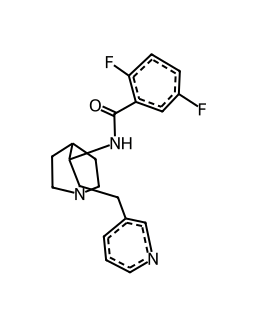 O=C(NC1C2CCN(CC2)C1Cc1cccnc1)c1cc(F)ccc1F